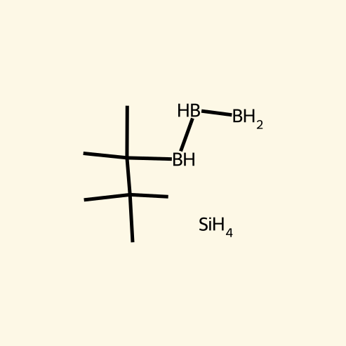 BBBC(C)(C)C(C)(C)C.[SiH4]